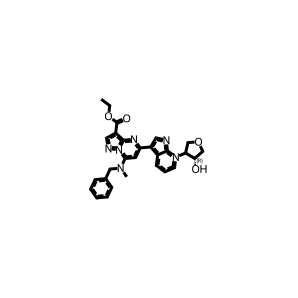 CCOC(=O)c1cnn2c(N(C)Cc3ccccc3)cc(-c3cnc4n(C5COC[C@@H]5O)cccc3-4)nc12